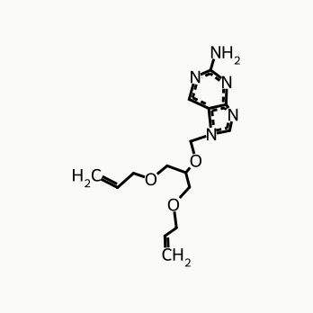 C=CCOCC(COCC=C)OCn1cnc2nc(N)ncc21